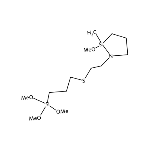 CO[Si](CCCSCCN1CCC[Si]1(C)OC)(OC)OC